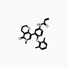 C=CC(=O)Nc1ccc(Oc2c(C)cccc2C)c(-c2cn(C)c(=O)c3c2OCCC3)c1